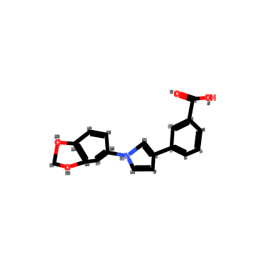 O=C(O)c1cccc(-c2ccn(-c3ccc4c(c3)OCO4)c2)c1